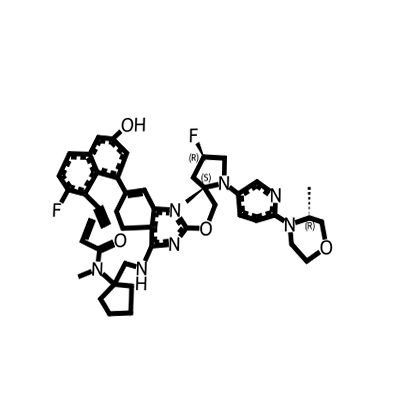 C#Cc1c(F)ccc2cc(O)cc(C3=Cc4nc(OC[C@]5(C)C[C@@H](F)CN5c5ccc(N6CCOC[C@H]6C)nc5)nc(NCC5(N(C)C(=O)C=C)CCCC5)c4CC3)c12